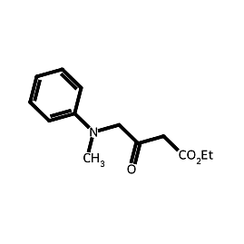 CCOC(=O)CC(=O)CN(C)c1ccccc1